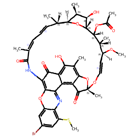 CO[C@H]1/C=C/O[C@@]2(C)Oc3c(C)c(O)c4c(=O)c(c5oc6cc(Br)cc(SC)c6nc-5c4c3C2=O)NC(=O)/C(C)=C\C=C\[C@H](C)[C@@H]2O[C@H]([C@H](O)[C@@H]2C)[C@H](OC(C)=O)[C@@H]1C